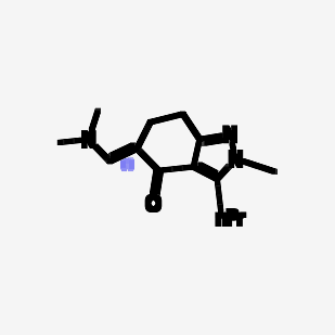 CCCc1c2c(nn1C)CC/C(=C\N(C)C)C2=O